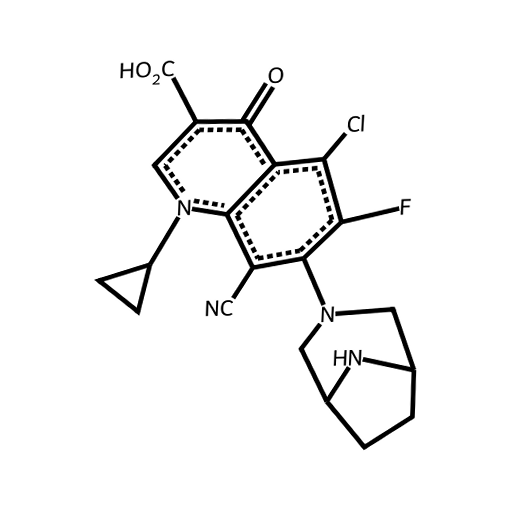 N#Cc1c(N2CC3CCC(C2)N3)c(F)c(Cl)c2c(=O)c(C(=O)O)cn(C3CC3)c12